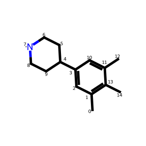 Cc1cc(C2CC[N]CC2)cc(C)c1C